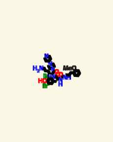 COc1ccccc1CCCNC(=O)N[C@H](Cc1cc(Br)c(O)c(Br)c1)C(=O)N[C@@H](CCCCN)C(=O)N1CCN(c2ccncc2)CC1